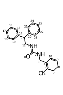 O=C(NCC1=C(Cl)CCC=C1)NCC(c1ccccc1)c1ccccc1